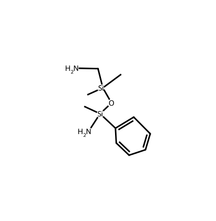 C[Si](C)(CN)O[Si](C)(N)c1ccccc1